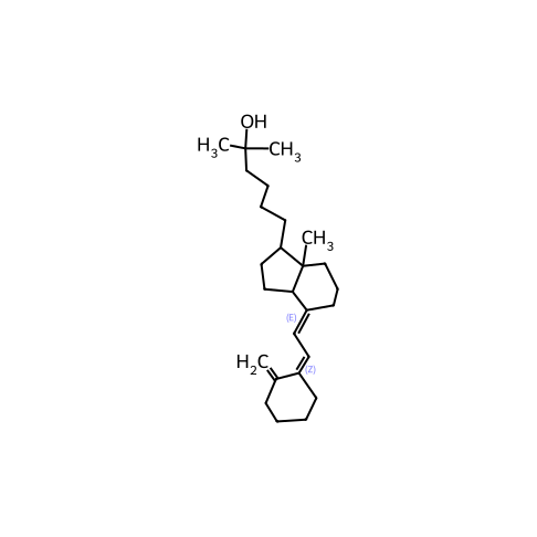 C=C1CCCC/C1=C/C=C1\CCCC2(C)C(CCCCC(C)(C)O)CCC12